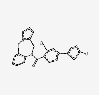 O=C(c1ccc(-c2csc(Cl)c2)cc1Cl)N1Cc2cccn2Cc2ccccc21